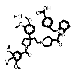 COc1ccc(C2(CCN3CCC(C(=O)c4nc5ccccc5n4Cc4ccc(C(=O)O)cc4)CC3)CCN(C(=O)c3cc(OC)c(OC)c(OC)c3)C2)cc1OC.Cl